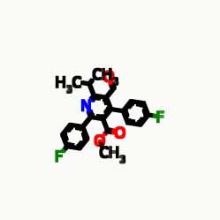 COC(=O)c1c(-c2ccc(F)cc2)nc(C(C)C)c(C=O)c1-c1ccc(F)cc1